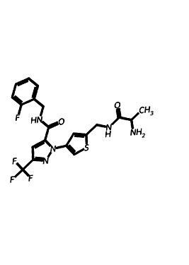 CC(N)C(=O)NCc1cc(-n2nc(C(F)(F)F)cc2C(=O)NCc2ccccc2F)cs1